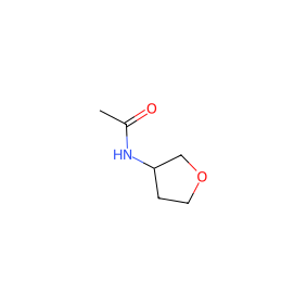 CC(=O)NC1CCOC1